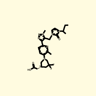 CCC(C)n1ccn(Cc2c(-c3ccc(N4C[C@@H](CC(=O)O)CC(F)(F)C4)c(C)n3)nnn2C)c1=O